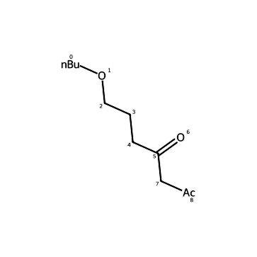 CCCCOCCCC(=O)CC(C)=O